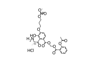 CC(=O)Oc1ccccc1C(=O)OCOC(=O)c1ccc(OCCCO[N+](=O)[O-])c(O)c1C(=O)[C@H](C)N.Cl